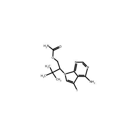 CC(C)(C)C(COC(N)=O)n1cc(I)c2c(N)ncnc21